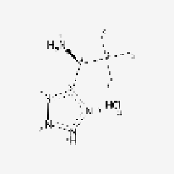 CC(C)(C)[C@H](N)c1nn[nH]n1.Cl